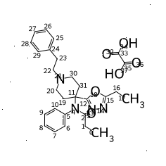 CCC(=O)N(c1ccccc1)C1(c2nnc(CC)o2)CCN(CCc2ccccc2)CC1.O=C(O)C(=O)O